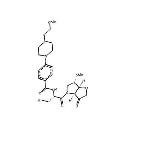 COCCN1CCN(c2ccc(C(=O)N[C@@H](CC(C)C)C(=O)N3C[C@H](SC)[C@H]4OCC(=O)[C@H]43)cc2)CC1